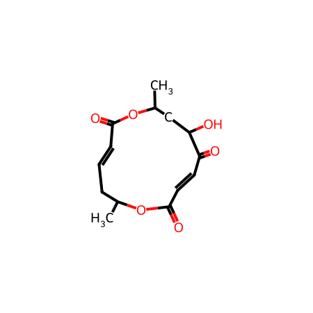 CC1C/C=C/C(=O)OC(C)CC(O)C(=O)/C=C/C(=O)O1